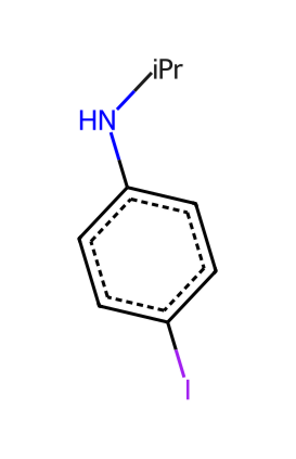 CC(C)Nc1ccc(I)cc1